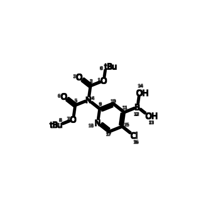 CC(C)(C)OC(=O)N(C(=O)OC(C)(C)C)c1cc(B(O)O)c(Cl)cn1